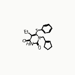 CCc1c(Sc2ccccc2)n(CC2=CCCC2)c(=O)[nH]c1=O